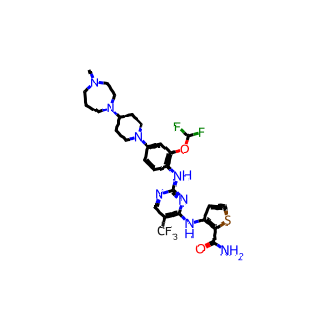 CN1CCCN(C2CCN(c3ccc(Nc4ncc(C(F)(F)F)c(Nc5ccsc5C(N)=O)n4)c(OC(F)F)c3)CC2)CC1